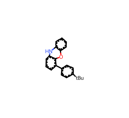 CC(C)(C)c1ccc(-c2cccc3c2Oc2ccccc2N3)cc1